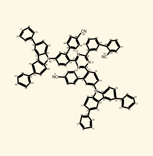 N#Cc1ccc(-c2cc(-n3c4ccc(-c5ccccc5)cc4c4cc(-c5ccccc5)ccc43)ccc2-c2nc(-c3cccc(-c4ccccc4C#N)c3)nc(-c3ccc(-n4c5ccc(-c6ccccc6)cc5c5cc(-c6ccccc6)ccc54)cc3-c3ccc(C#N)cc3)n2)cc1